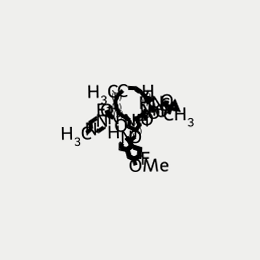 CC[C@@H]1C[C@H](C)CCC=C[C@@H]2C[C@@]2(C(=O)NS(=O)(=O)C2(C)CC2)NC(=O)[C@@H]2C[C@@H](Oc3nccc4cc(OC)c(F)cc34)CN2C(=O)[C@H]1NC(=O)N1CCN(C)CC1